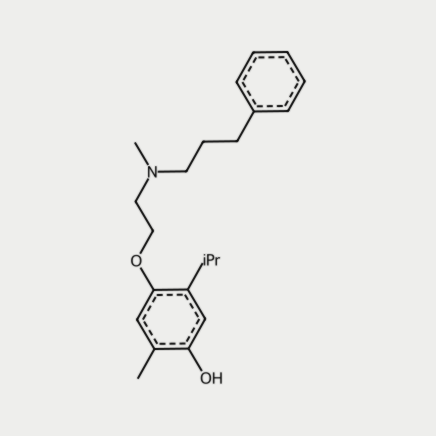 Cc1cc(OCCN(C)CCCc2ccccc2)c(C(C)C)cc1O